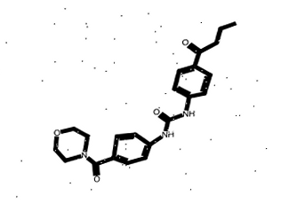 CCCC(=O)c1ccc(NC(=O)Nc2ccc(C(=O)N3CCOCC3)cc2)cc1